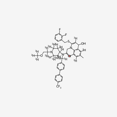 [2H]C1=C(SCc2cccc(F)c2F)N(CC(=O)N(C([2H])([2H])c2ccc(-c3ccc(C(F)(F)F)cc3)cc2)C2([2H])C([2H])([2H])C([2H])([2H])N(C([2H])([2H])COC([2H])([2H])[2H])C([2H])([2H])C2([2H])[2H])c2c([2H])c([2H])c(C)c([2H])c2C1O